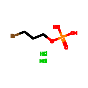 Cl.Cl.O=P(O)(O)OCCCBr